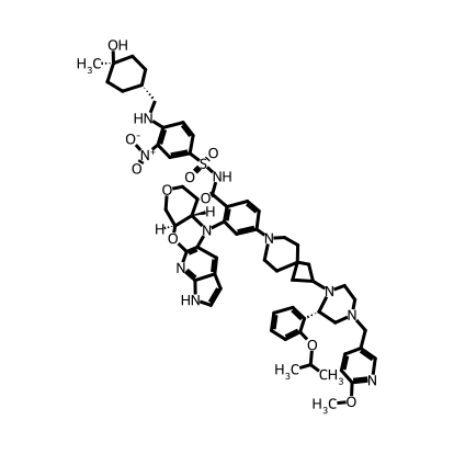 COc1ccc(CN2CCN(C3CC4(CCN(c5ccc(C(=O)NS(=O)(=O)c6ccc(NC[C@H]7CC[C@](C)(O)CC7)c([N+](=O)[O-])c6)c(N6c7cc8cc[nH]c8nc7O[C@H]7COCC[C@@H]76)c5)CC4)C3)[C@@H](c3ccccc3OC(C)C)C2)cn1